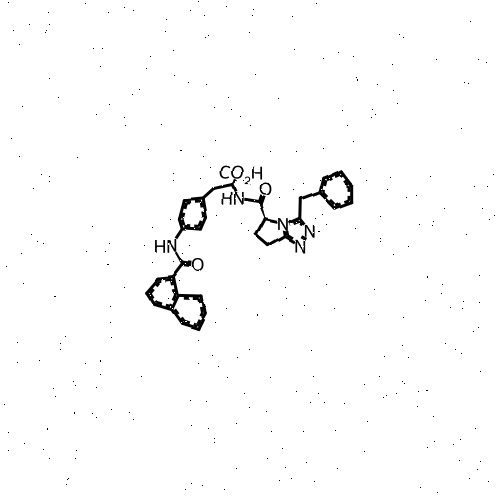 O=C(Nc1ccc(C[C@H](NC(=O)[C@@H]2CCc3nnc(Cc4ccccc4)n32)C(=O)O)cc1)c1cccc2ccccc12